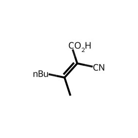 CCCCC(C)=C(C#N)C(=O)O